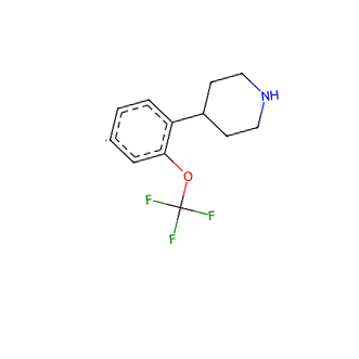 FC(F)(F)Oc1c[c]ccc1C1CCNCC1